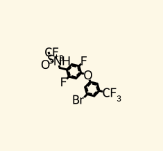 [O-][S+](NCc1cc(F)c(Oc2cc(Br)cc(C(F)(F)F)c2)cc1F)C(F)(F)F